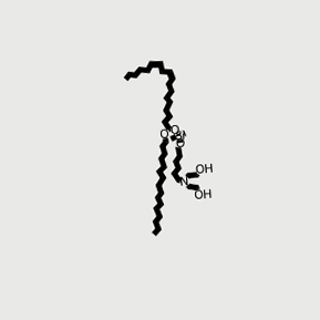 CCCCC/C=C\C/C=C\CCCCCCCC(OCCCCCCCCCCCCCCCC)O[Si](C)(C)OCCCCCCN(CCO)CCO